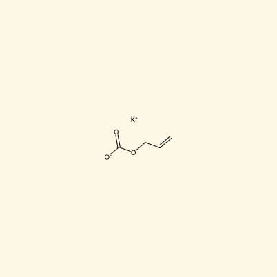 C=CCOC(=O)[O-].[K+]